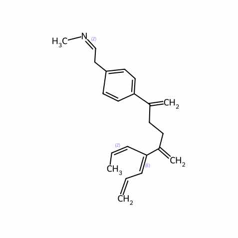 C=C/C=C(\C=C/C)C(=C)CCC(=C)c1ccc(C/C=N\C)cc1